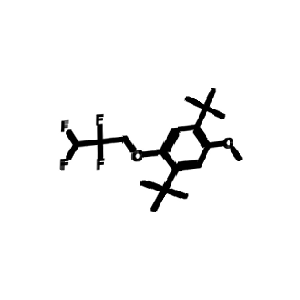 COc1cc(C(C)(C)C)c(OCC(F)(F)C(F)F)cc1C(C)(C)C